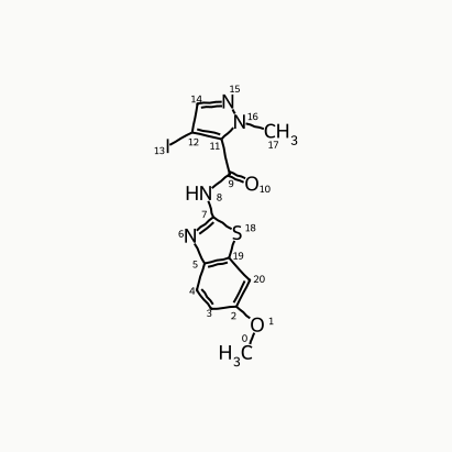 COc1ccc2nc(NC(=O)c3c(I)cnn3C)sc2c1